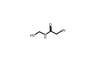 CC(C)CC(=O)NCO